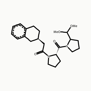 COC(OC)C1CCCN1C(=O)[C@@H]1CCCN1C(=O)C[C@@H]1CCc2ccccc2C1